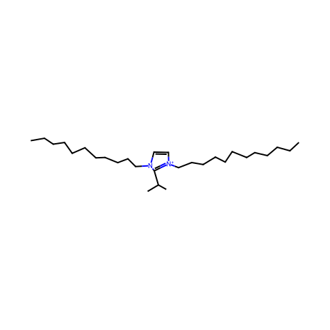 CCCCCCCCCCCC[n+]1ccn(CCCCCCCCCCC)c1C(C)C